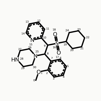 COc1ccccc1C(C(c1ccccn1)S(=O)(=O)C1CCCCC1)N1CCNCC1